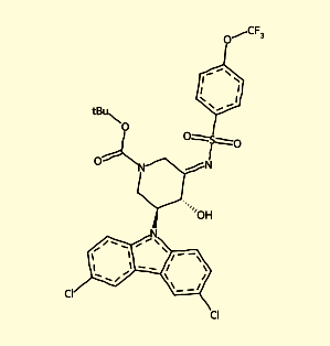 CC(C)(C)OC(=O)N1C/C(=N\S(=O)(=O)c2ccc(OC(F)(F)F)cc2)[C@H](O)[C@@H](n2c3ccc(Cl)cc3c3cc(Cl)ccc32)C1